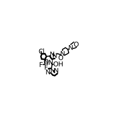 O=C(Cn1cc(NC(O)c2cnc3cccnn23)c(-c2cc(Cl)ccc2OC(F)F)n1)N1CCC(N2CCOCC2)CC1